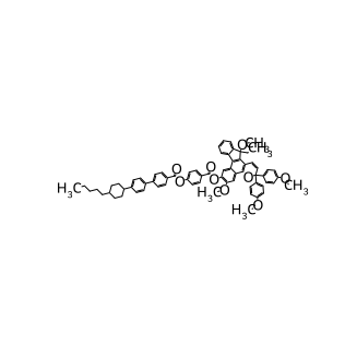 CCCCCC1CCC(c2ccc(-c3ccc(C(=O)Oc4ccc(C(=O)Oc5cc6c7c(c8c(c6cc5OC)OC(c5ccc(OC)cc5)(c5ccc(OC)cc5)C=C8)C(CC)(OC)c5ccccc5-7)cc4)cc3)cc2)CC1